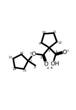 CC1(OC(=O)C2(C(=O)O)CCCC2)CCCC1